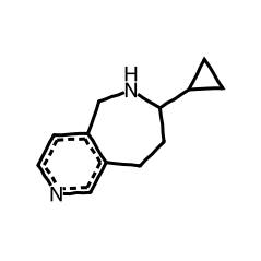 c1cc2c(cn1)CCC(C1CC1)NC2